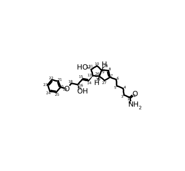 NC(=O)CCCCC1=C[C@H]2C[C@@H](O)[C@H](/C=C/[C@@H](O)COc3ccccc3)[C@H]2C1